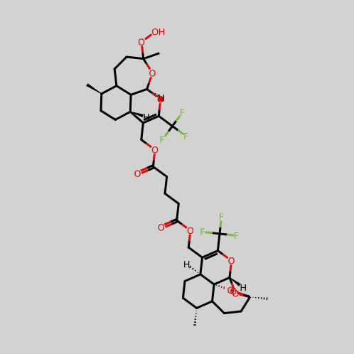 C[C@@H]1CC[C@H]2C(COC(=O)CCCC(=O)OCC3=C(C(F)(F)F)O[C@@H]4O[C@]5(C)CCC6[C@H](C)CC[C@@H]3[C@]64OO5)=C(C(F)(F)F)O[C@@H]3OC(C)(OO)CCC1C32